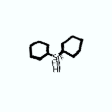 C1CC[CH]([Sn][CH]2CCCCC2)CC1.I.I